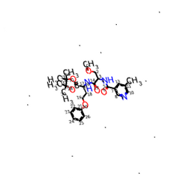 COCC(NC(=O)c1cncc(C)c1)C(=O)N[C@@H](CCOc1ccccc1)B1OC(C)(C)C(C)(C)O1